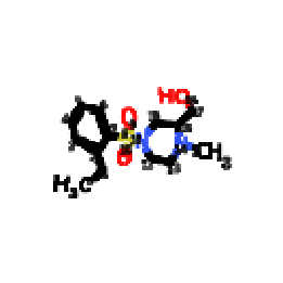 CCc1ccccc1S(=O)(=O)N1CCN(C)C(CO)C1